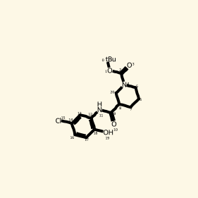 CC(C)(C)OC(=O)N1CCCC(C(=O)Nc2cc(Cl)ccc2O)C1